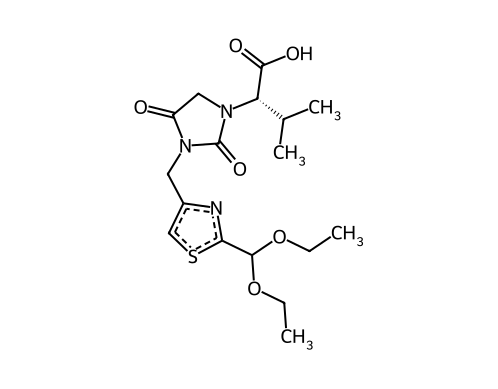 CCOC(OCC)c1nc(CN2C(=O)CN([C@H](C(=O)O)C(C)C)C2=O)cs1